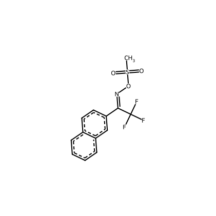 CS(=O)(=O)ON=C(c1ccc2ccccc2c1)C(F)(F)F